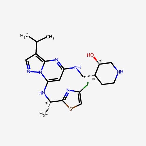 CC(C)c1cnn2c(N[C@@H](C)c3nc(F)cs3)cc(NC[C@H]3CCNC[C@@H]3O)nc12